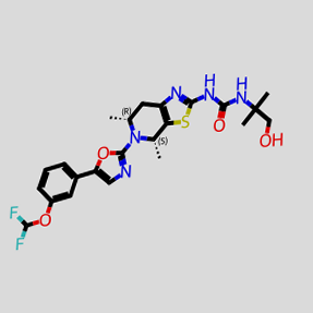 C[C@@H]1Cc2nc(NC(=O)NC(C)(C)CO)sc2[C@H](C)N1c1ncc(-c2cccc(OC(F)F)c2)o1